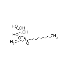 CCCCCCCCCCCC(=O)N(CCCC)CC(=O)[C@@H](O)[C@H](O)[C@H](O)CO